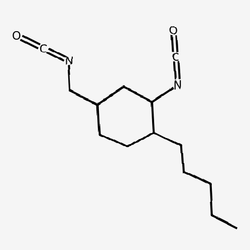 CCCCCC1CCC(CN=C=O)CC1N=C=O